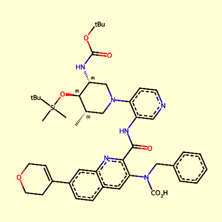 C[C@H]1CN(c2ccncc2NC(=O)c2nc3cc(C4=CCOCC4)ccc3cc2N(Cc2ccccc2)C(=O)O)C[C@@H](NC(=O)OC(C)(C)C)[C@@H]1O[Si](C)(C)C(C)(C)C